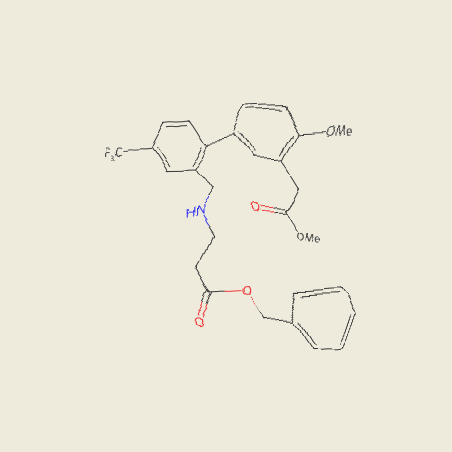 COC(=O)Cc1cc(-c2ccc(C(F)(F)F)cc2CNCCC(=O)OCc2ccccc2)ccc1OC